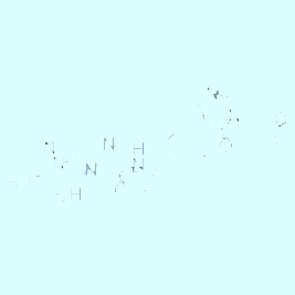 CC(C)n1ncc2cnc(C(=O)NC3(c4ccc(-c5cncn([C@H]6CCOC6)c5=O)cc4)CC3)nc21